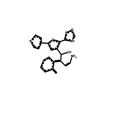 C=c1cccc/c1=C(/C=C\N)C(O)c1cc(-c2ccncc2)sc1-c1nnc[nH]1